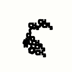 Cc1cccc([C@H](C)c2nccn2C(=O)OCCC(C)CCCC(C)C)c1C